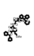 CON=C(C(=O)NC1C(=O)N2C(C(=O)OC(c3ccccc3)c3ccccc3)=C(C=CSC)CSC12)c1csc(NC(c2ccccc2)(c2ccccc2)c2ccccc2)n1